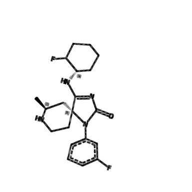 C[C@H]1C[C@]2(CCN1)C(N[C@H]1CCCCC1F)=NC(=O)N2c1cccc(F)c1